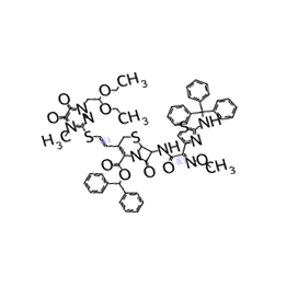 CCOC(Cn1nc(S/C=C/C2=C(C(=O)OC(c3ccccc3)c3ccccc3)N3C(=O)C(NC(=O)/C(=N/OC)c4csc(NC(c5ccccc5)(c5ccccc5)c5ccccc5)n4)C3SC2)n(C)c(=O)c1=O)OCC